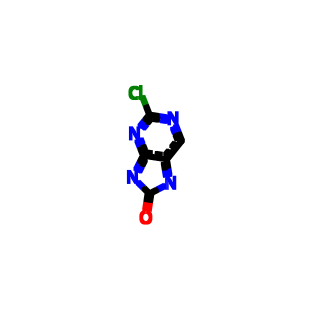 O=C1N=c2cnc(Cl)nc2=N1